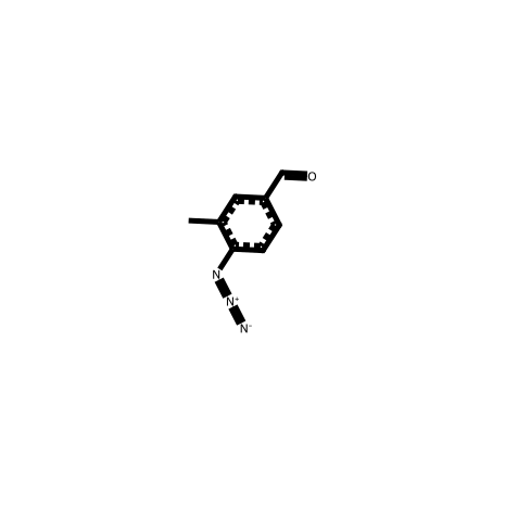 Cc1cc(C=O)ccc1N=[N+]=[N-]